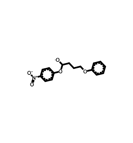 [O]C(CCCOc1ccccc1)Oc1ccc([N+](=O)[O-])cc1